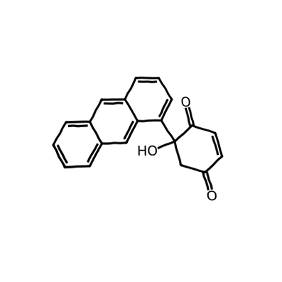 O=C1C=CC(=O)C(O)(c2cccc3cc4ccccc4cc23)C1